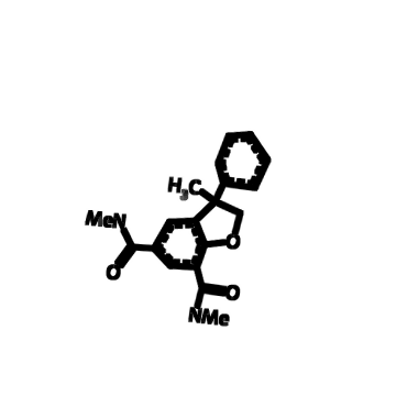 CNC(=O)c1cc(C(=O)NC)c2c(c1)C(C)(c1ccccc1)CO2